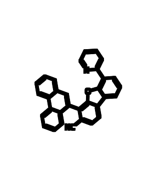 N#Cc1ccc2c(oc3c(-c4ccccn4)cccc32)c1-c1cc2ccccc2c2ccccc12